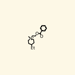 CCC1CC[N+](C)(CCOC(=O)c2ccccc2)CC1